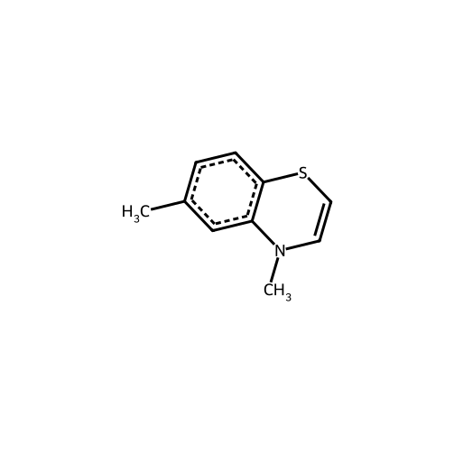 Cc1ccc2c(c1)N(C)C=CS2